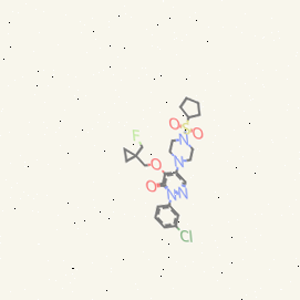 O=c1c(OCC2(CF)CC2)c(N2CCN(S(=O)(=O)C3CCCC3)CC2)cnn1-c1cccc(Cl)c1